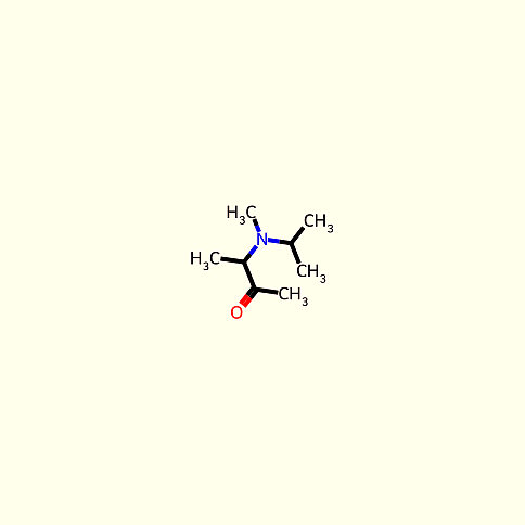 CC(=O)C(C)N(C)C(C)C